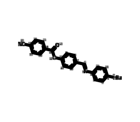 CCCCc1ccc(N=Cc2ccc(OC(=O)c3ccc(C#N)cc3)cc2)cc1